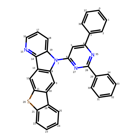 c1ccc(-c2cc(-n3c4cc5c(cc4c4ncccc43)sc3ccccc35)nc(-c3ccccc3)n2)cc1